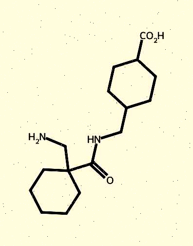 NCC1(C(=O)NCC2CCC(C(=O)O)CC2)CCCCC1